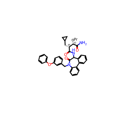 CCC[C@H](C(N)=O)[C@@H](CC1CC1)C(=O)NC1C(=O)N(Cc2cccc(Oc3ccccc3)c2)c2ccccc2-c2ccccc21